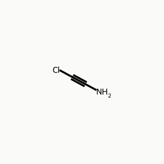 NC#CCl